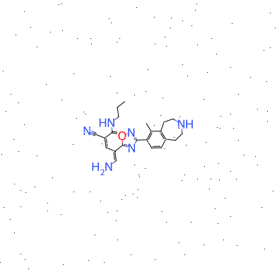 C=C(NCCC)/C(C#N)=C\C(=C/N)c1nc(-c2ccc3c(c2C)CCNCC3)no1